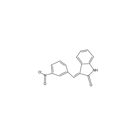 O=C1Nc2ccccc2/C1=C\c1cccc([N+](=O)[O-])c1